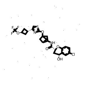 O=C(NC1CC2(Oc3nc([C@H]4C[C@@H](OC(F)(F)F)C4)cs3)CC1C2)[C@H]1C[C@@H](O)c2cc(Cl)ccc2O1